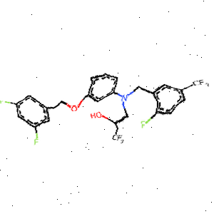 OC(CN(Cc1cc(C(F)(F)F)ccc1F)c1cccc(OCc2cc(F)cc(F)c2)c1)C(F)(F)F